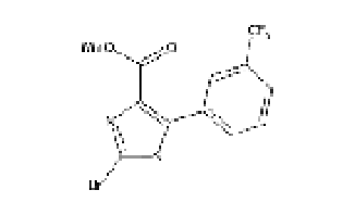 COC(=O)c1nc(Br)sc1-c1cccc(C(F)(F)F)c1